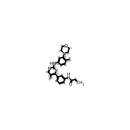 C=CC(=O)Nc1cccc(-c2nc(Nc3ccc(F)c(N4CCOCC4)c3)ncc2F)c1